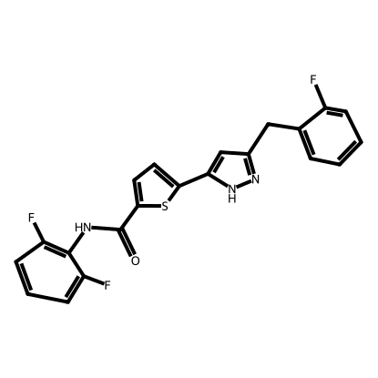 O=C(Nc1c(F)cccc1F)c1ccc(-c2cc(Cc3ccccc3F)n[nH]2)s1